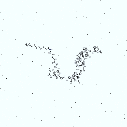 CCCCCCCC/C=C\CCCCCCCCOCC(CN1CCCCC1)OCCOC(=O)C(C)(C)NC(=O)O[C@H]1CC[C@@]2(C)C(=CC[C@H]3[C@@H]4CC[C@H]([C@H](C)CCCC(C)C)[C@@]4(C)CC[C@@H]32)C1